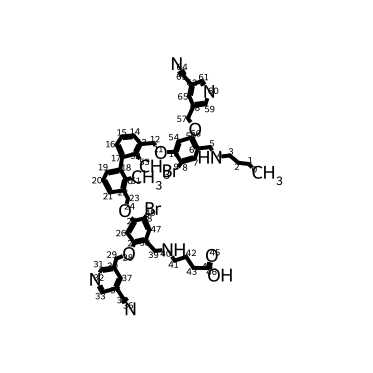 CCCCNCc1cc(Br)c(OCc2cccc(-c3cccc(COc4cc(OCc5cncc(C#N)c5)c(CNCCCC(=O)O)cc4Br)c3C)c2C)cc1OCc1cncc(C#N)c1